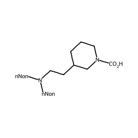 CCCCCCCCCN(CCCCCCCCC)CCC1CCCN(C(=O)O)C1